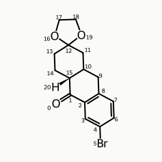 O=C1c2cc(Br)ccc2CC2CC3(CC[C@@H]12)OCCO3